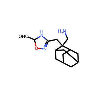 NCC1(CC2=NOC(C=O)N2)C2CC3CC(C2)CC1C3